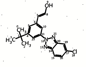 CC(C)(C)c1cc(C=CO)cc(-n2nc3ccc(Cl)cc3n2)c1